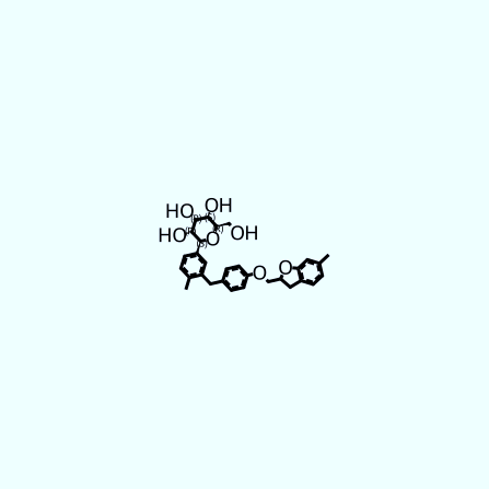 Cc1ccc2c(c1)OC(COc1ccc(Cc3cc([C@@H]4O[C@H](CO)[C@@H](O)[C@H](O)[C@H]4O)ccc3C)cc1)C2